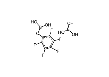 OB(O)O.OB(O)Oc1c(F)c(F)c(F)c(F)c1F